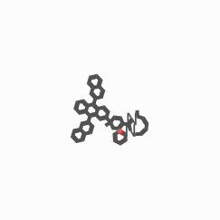 CC1/C=C\C=C/CN(c2ccccc2)/C(C2=CCC(C)(c3ccc4c(-c5ccc6ccccc6c5)c5ccccc5c(-c5ccc6ccccc6c5)c4c3)C=C2)=N\1